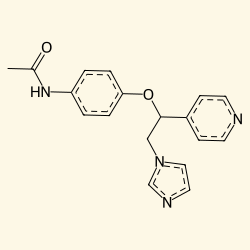 CC(=O)Nc1ccc(OC(Cn2ccnc2)c2ccncc2)cc1